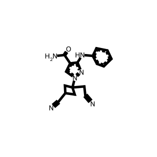 N#CCC1(n2cc(C(N)=O)c(Nc3ccccc3)n2)CC(C#N)C1